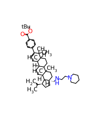 C=C(C)[C@@H]1CC[C@]2(CNCCN3CCCCC3)CC[C@]3(C)[C@H](CC[C@@H]4[C@@]5(C)CC=C(c6ccc(C(=O)OC(C)(C)C)cc6)C(C)(C)[C@@H]5CC[C@]43C)[C@@H]12